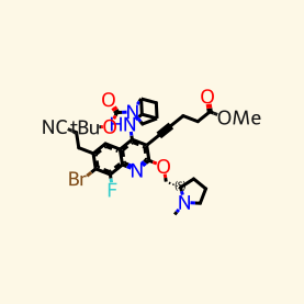 COC(=O)CCC#Cc1c(OC[C@@H]2CCCN2C)nc2c(F)c(Br)c(CCC#N)cc2c1NC1C2CC1N(C(=O)OC(C)(C)C)C2